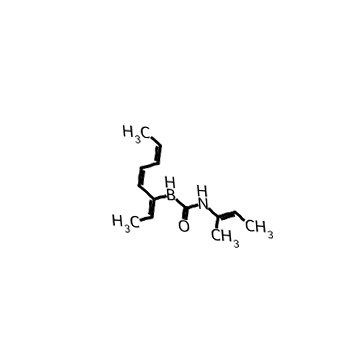 C\C=C/C=C\C(BC(=O)N/C(C)=C/C)=C/C